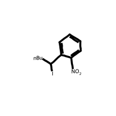 CCCCC(I)c1ccccc1[N+](=O)[O-]